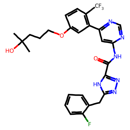 CC(C)(O)CCCOc1ccc(C(F)(F)F)c(-c2cc(NC(=O)c3nnc(Cc4ccccc4F)[nH]3)ncn2)c1